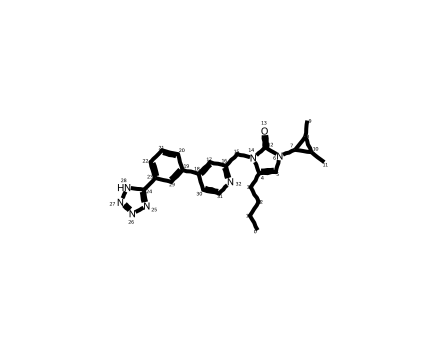 CCCCc1cn(C2C(C)C2C)c(=O)n1Cc1cc(-c2cccc(-c3nnn[nH]3)c2)ccn1